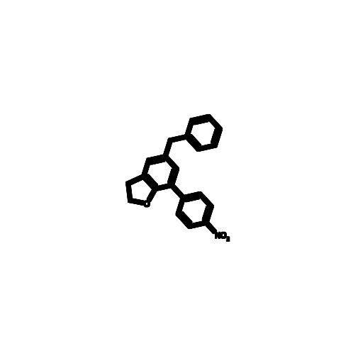 O=[N+]([O-])c1ccc(-c2cc(Cc3ccccc3)cc3c2OCC3)cc1